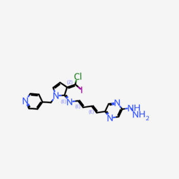 NNc1cnc(/C=C/C=C/N=C2\C(=C(\Cl)I)C=CN2Cc2ccncc2)cn1